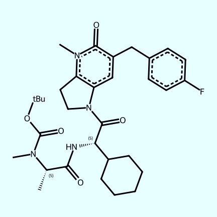 C[C@@H](C(=O)N[C@H](C(=O)N1CCc2c1cc(Cc1ccc(F)cc1)c(=O)n2C)C1CCCCC1)N(C)C(=O)OC(C)(C)C